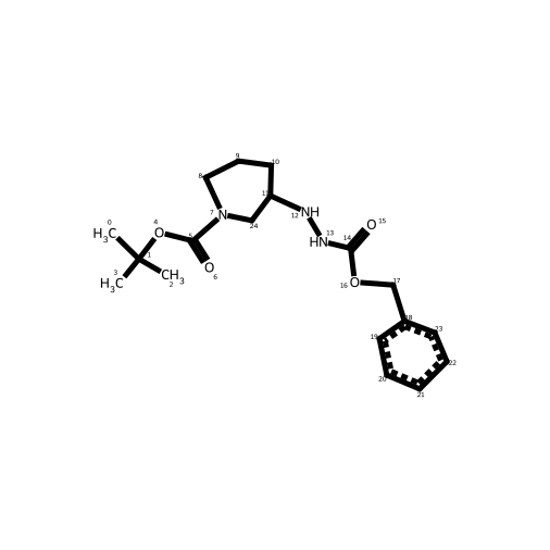 CC(C)(C)OC(=O)N1CCCC(NNC(=O)OCc2ccccc2)C1